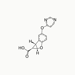 O=C(O)[C@@H]1[C@H]2Oc3ccc(Oc4ccncn4)cc3[C@H]21